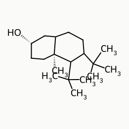 CC(C)(C)C1CCC2C[C@@H](O)CC[C@]2(C)C1C(C)(C)C